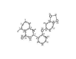 Cc1cccc2nc(-c3cccnc3Oc3ccc4c(c3)OCO4)oc(=O)c12